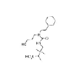 C[C@H](C(=O)O)C(C)(C)CNC(=O)N(CCCO)CCC1CCCCC1